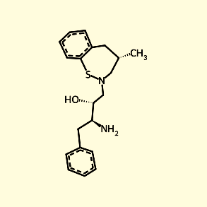 C[C@H]1Cc2ccccc2SN(C[C@@H](O)[C@@H](N)Cc2ccccc2)C1